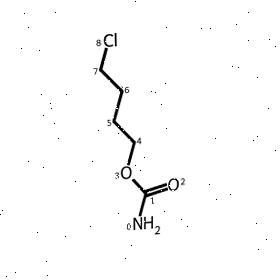 NC(=O)OCC[CH]CCl